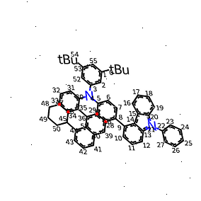 CC(C)(C)c1cc(N(c2ccc(-c3cccc4c3c3ccccc3n4-c3ccccc3)cc2)c2ccccc2-c2cccc3cccc(C4CCCCC4)c23)cc(C(C)(C)C)c1